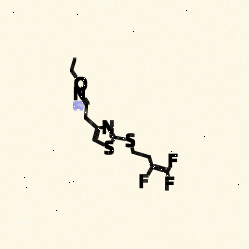 CCO/N=C/Cc1csc(SCCC(F)=C(F)F)n1